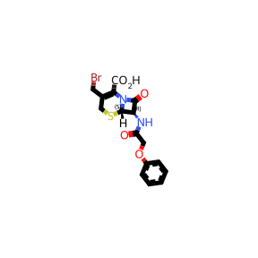 O=C(COc1ccccc1)N[C@@H]1C(=O)N2C(C(=O)O)=C(CBr)CS[C@@H]12